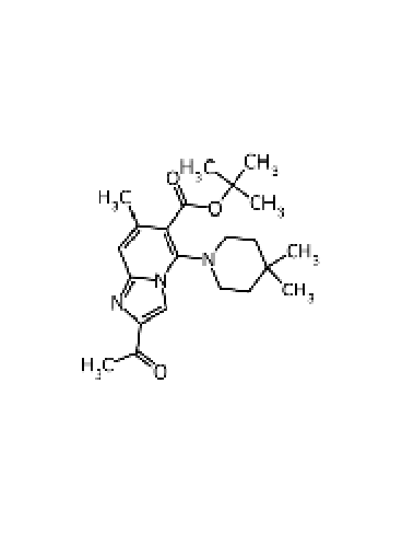 CC(=O)c1cn2c(N3CCC(C)(C)CC3)c(C(=O)OC(C)(C)C)c(C)cc2n1